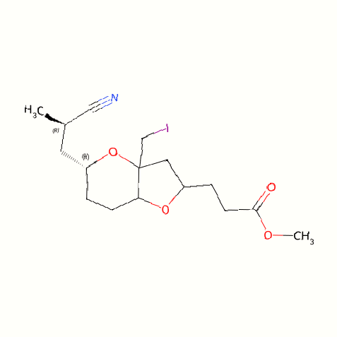 COC(=O)CCC1CC2(CI)O[C@@H](C[C@@H](C)C#N)CCC2O1